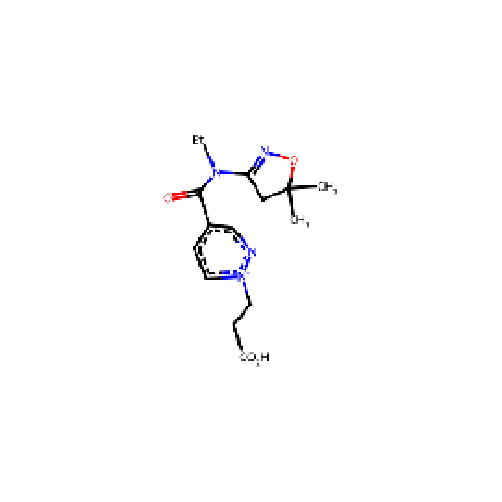 CCN(C(=O)c1cc[n+](CCC(=O)O)nc1)C1=NOC(C)(C)C1